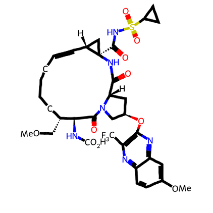 COC[C@@H]1CCCCC=C[C@@H]2C[C@@]2(C(=O)NS(=O)(=O)C2CC2)NC(=O)[C@@H]2C[C@@H](Oc3nc4cc(OC)ccc4nc3C(F)(F)F)CN2C(=O)[C@H]1NC(=O)O